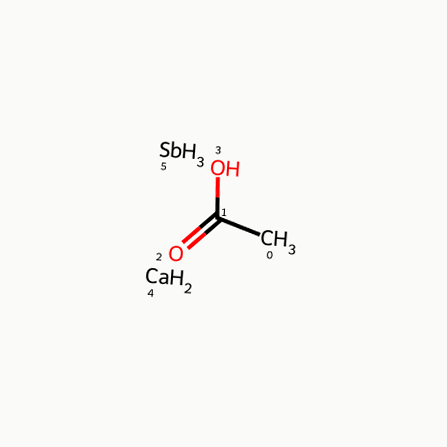 CC(=O)O.[CaH2].[SbH3]